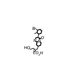 Cc1c(Br)cccc1-c1cnc2cc(CN(CCO)C(=O)O)ccn2c1=O